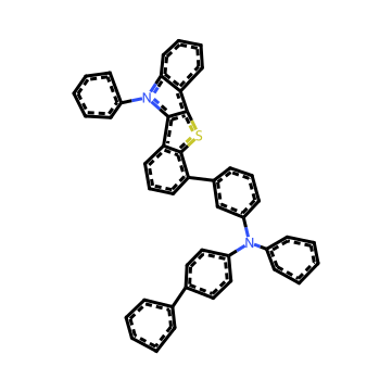 c1ccc(-c2ccc(N(c3ccccc3)c3cccc(-c4cccc5c4sc4c6ccccc6n(-c6ccccc6)c54)c3)cc2)cc1